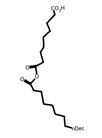 CCCCCCCCCCCCCCCCCC(=O)OC(=O)CCCCCCCC(=O)O